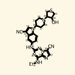 CCNc1nc(Nc2ccc3c(c2)c(C#N)cn3C2CCN(C3CSCC3O)CC2)nn2c(C#N)cnc12